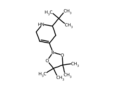 CC(C)(C)C1CC(B2OC(C)(C)C(C)(C)O2)=CCN1